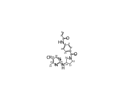 C=CC(=O)Nc1ccc(C(=O)N2CCC(Nc3ncc(Cl)c(C)n3)C2)cc1